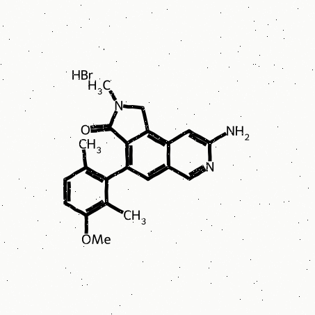 Br.COc1ccc(C)c(-c2cc3cnc(N)cc3c3c2C(=O)N(C)C3)c1C